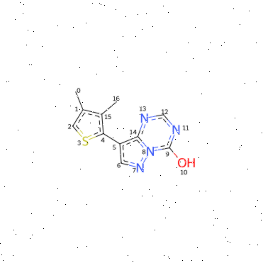 Cc1csc(-c2cnn3c(O)ncnc23)c1C